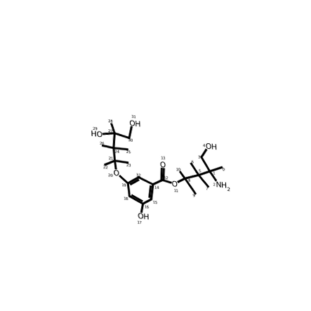 CC(N)(CO)C(C)(C)C(C)(C)OC(=O)c1cc(O)cc(OC(C)(C)C(C)(C)C(C)(O)CO)c1